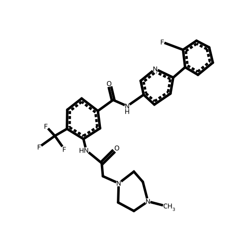 CN1CCN(CC(=O)Nc2cc(C(=O)Nc3ccc(-c4ccccc4F)nc3)ccc2C(F)(F)F)CC1